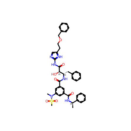 C[C@@H](NC(=O)c1cc(C(=O)N[C@@H](Cc2ccccc2)[C@@H](O)C(=O)Nc2ncc(CCOCc3ccccc3)[nH]2)cc(N(C)S(C)(=O)=O)c1)c1ccccc1